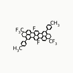 Cc1ccc(-c2cc3c4cc(F)c5c6ccc7c8c(c(-c9ccc(C)cc9)cc(c9cc(F)c(c%10ccc%11c(c2CCC%11C(F)(F)F)c3%10)c4c95)c86)CCC7C(F)(F)F)cc1